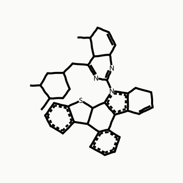 CC1CCC(CC2=NC(n3c4c(c5c3C3Sc6ccccc6C3c3ccccc3-5)C=CCC4)=NC3C=CCC(C)C23)CC1C